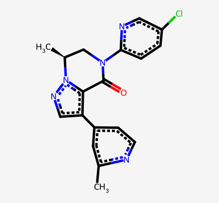 Cc1cc(-c2cnn3c2C(=O)N(c2ccc(Cl)cn2)C[C@@H]3C)ccn1